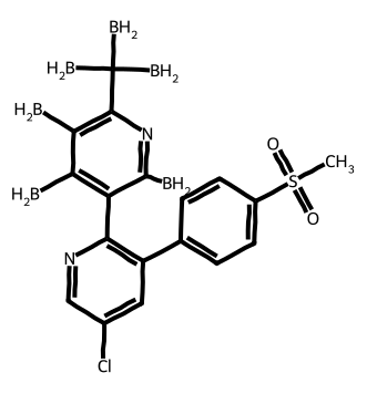 Bc1nc(C(B)(B)B)c(B)c(B)c1-c1ncc(Cl)cc1-c1ccc(S(C)(=O)=O)cc1